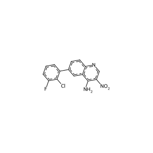 Nc1c([N+](=O)[O-])cnc2ccc(-c3cccc(F)c3Cl)cc12